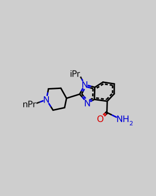 CCCN1CCC(c2nc3c(C(N)=O)cccc3n2C(C)C)CC1